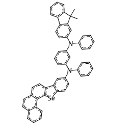 CC1(C)c2ccccc2-c2ccc(N(c3ccccc3)c3cccc(N(c4ccccc4)c4ccc5[se]c6c(ccc7ccc8ccccc8c76)c5c4)c3)cc21